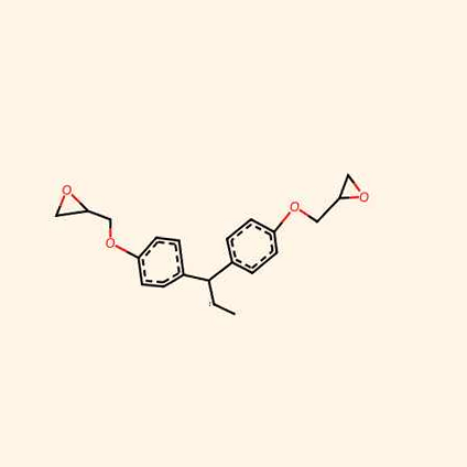 C[C]C(c1ccc(OCC2CO2)cc1)c1ccc(OCC2CO2)cc1